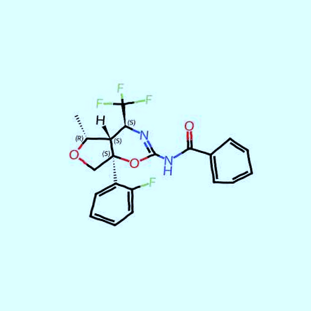 C[C@H]1OC[C@]2(c3ccccc3F)OC(NC(=O)c3ccccc3)=N[C@H](C(F)(F)F)[C@@H]12